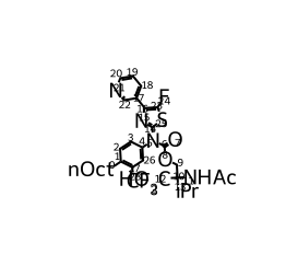 CCCCCCCCc1ccc(N(C(=O)OCC(NC(C)=O)(C(=O)O)C(C)C)c2nc(-c3cccnc3)c(F)s2)cc1C(F)(F)F